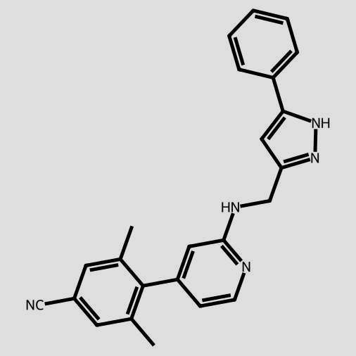 Cc1cc(C#N)cc(C)c1-c1ccnc(NCc2cc(-c3ccccc3)[nH]n2)c1